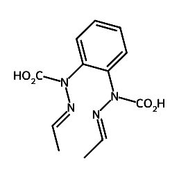 CC=NN(C(=O)O)c1ccccc1N(N=CC)C(=O)O